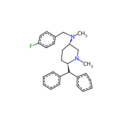 CN(Cc1ccc(F)cc1)[C@@H]1CC[C@H](C(c2ccccc2)c2ccccc2)N(C)C1